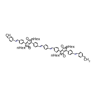 C=Cc1ccc(/C=C/c2ccc(C3=C4C(=O)N(CCCCCC)C(c5ccc(/C=C/c6ccc(/C=C/c7ccc(C8=C9C(=O)N(CCCCCC)C(c%10ccc(/C=C/C%11=CCC(C=C)C=C%11)cc%10)=C9C(=O)N8CCCCCC)cc7)cc6)cc5)=C4C(=O)N3CCCCCC)cc2)cc1